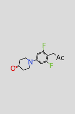 CC(=O)Cc1c(F)cc(N2CCC(=O)CC2)cc1F